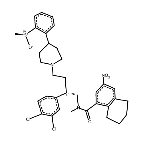 CN(C[C@@H](CCN1CCC(c2ccccc2[S@+](C)[O-])CC1)c1ccc(Cl)c(Cl)c1)C(=O)c1cc([N+](=O)[O-])cc2c1CCCC2